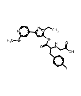 CCn1nc(-c2ccnc(NC)c2)cc1NC(=O)C(Cc1ccc(F)cc1)NCC(=O)O